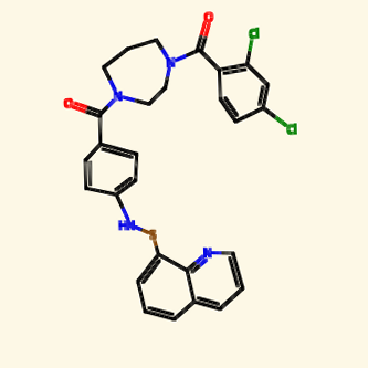 O=C(c1ccc(NSc2cccc3cccnc23)cc1)N1CCCN(C(=O)c2ccc(Cl)cc2Cl)CC1